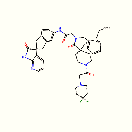 CCC1(C(=O)N(CC(=O)Nc2ccc3c(c2)C[C@@]2(C3)C(=O)Nc3ncccc32)Cc2ccccc2CNC)CCN(C(=O)CN2CCC(F)(F)CC2)CC1